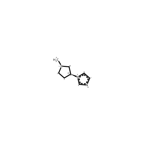 CN1CC[C@H](n2ccnc2)C1